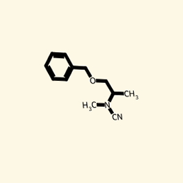 CC(COCc1ccccc1)N(C)C#N